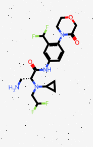 NC[C@H](C(=O)Nc1ccc(N2CCOCC2=O)c(C(F)F)c1)N(CC(F)F)C1CC1